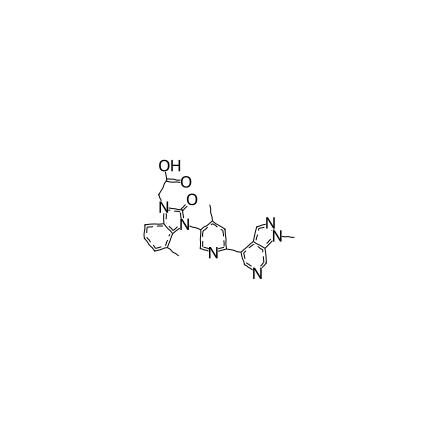 Cc1cc(-c2cncc3c2cnn3C)ncc1-n1c(=O)n(CC(=O)O)c2cccc(C)c21